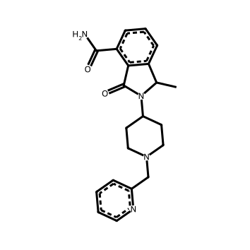 CC1c2cccc(C(N)=O)c2C(=O)N1C1CCN(Cc2ccccn2)CC1